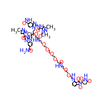 CCn1nc(C)cc1C(=O)Nc1nc2cc(C(N)=O)ccc2n1CCC(CCn1c(NC(=O)c2cc(C)nn2CC)nc2cc(C(N)=O)ccc21)OCC(=O)NCCOCCOCCOCCOCCC(=O)NCCOCCOCCNc1cccc2c1C(=O)N(C1CCC(=O)NC1=O)C2=O